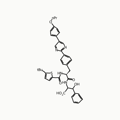 CCCOc1ccc(-c2cnc(-c3ccc(C[C@H](NC(=O)c4ccc(C(C)(C)C)s4)C(=O)NC(C(=O)O)C(O)c4ccccc4)cc3)nc2)cc1